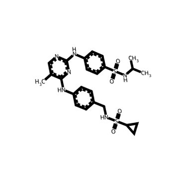 Cc1cnc(Nc2ccc(S(=O)(=O)NC(C)C)cc2)nc1Nc1ccc(CNS(=O)(=O)C2CC2)cc1